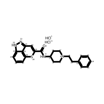 Cl.Cl.O=C(NC1CCN(CCc2ccccc2)CC1)C1=Cc2n[nH]c3cccc(c23)S1